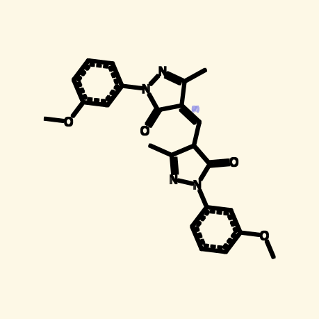 COc1cccc(N2N=C(C)/C(=C/C3C(=O)N(c4cccc(OC)c4)N=C3C)C2=O)c1